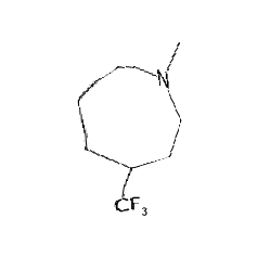 CN1CCCC(C(F)(F)F)CC1